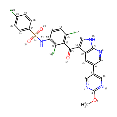 COc1ncc(-c2cnc3[nH]cc(C(=O)c4c(F)ccc(NS(=O)(=O)c5ccc(F)cc5)c4F)c3c2)cn1